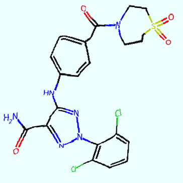 NC(=O)c1nn(-c2c(Cl)cccc2Cl)nc1Nc1ccc(C(=O)N2CCS(=O)(=O)CC2)cc1